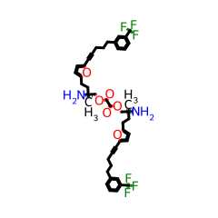 C[C@@](N)(CCc1ccc(C#CCCCc2cccc(C(F)(F)F)c2)o1)COC(=O)C(=O)OC[C@](C)(N)CCc1ccc(C#CCCCc2cccc(C(F)(F)F)c2)o1